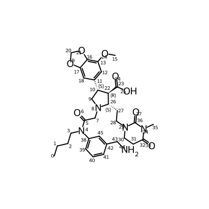 CCCCN(C(=O)CN1C[C@H](c2cc(OC)c3c(c2)OCO3)[C@@H](C(=O)O)[C@@H]1CCN1CCC(=O)N(C)C1=O)c1cccc(CN)c1